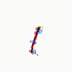 CC(=O)NCCOCCOCC(=O)NCCOCCOCC(=O)NCNC(=O)CCS